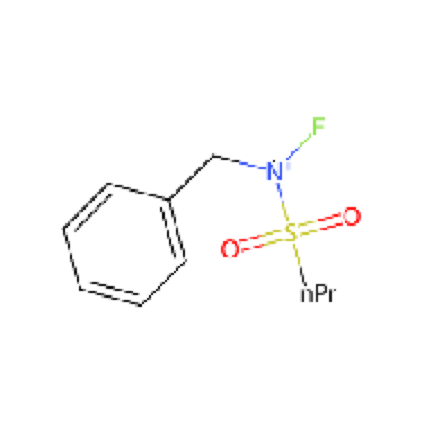 CCCS(=O)(=O)[N+](F)Cc1ccccc1